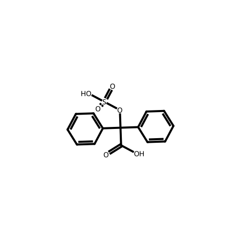 O=C(O)C(OS(=O)(=O)O)(c1ccccc1)c1ccccc1